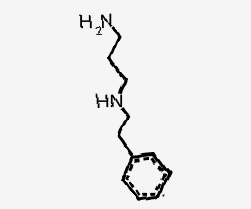 NCCCNCCc1cc[c]cc1